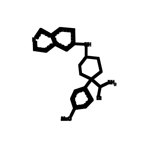 CCC(N)C1(c2ccc(OC)cc2)CCC(Nc2ccc3cnccc3c2)CC1